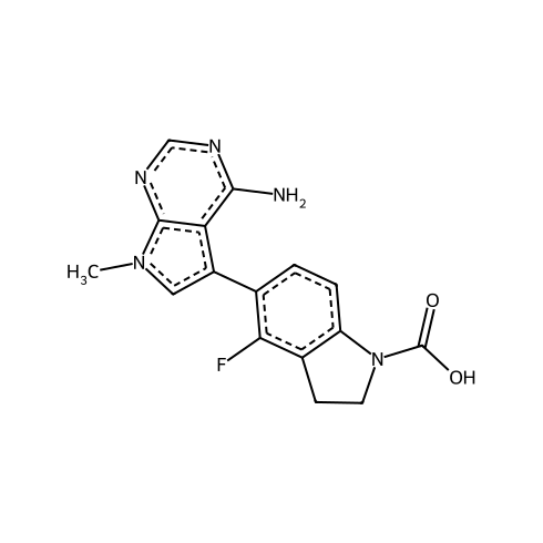 Cn1cc(-c2ccc3c(c2F)CCN3C(=O)O)c2c(N)ncnc21